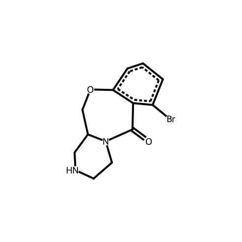 O=C1c2c(Br)cccc2OCC2CNCCN12